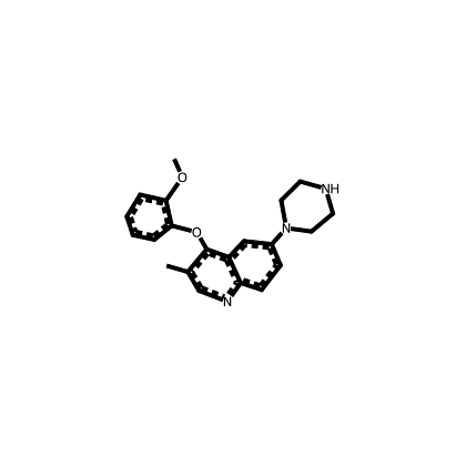 COc1ccccc1Oc1c(C)cnc2ccc(N3CCNCC3)cc12